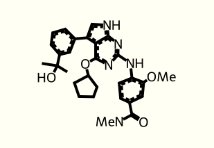 CNC(=O)c1ccc(Nc2nc(OC3CCCC3)c3c(-c4cccc(C(C)(C)O)c4)c[nH]c3n2)c(OC)c1